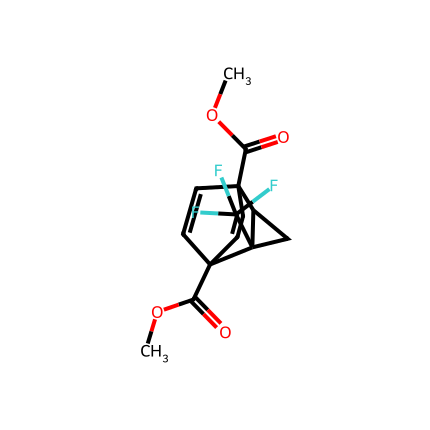 COC(=O)C12C=CC(C(=O)OC)(C=C1)C1(C(F)(F)F)CC21